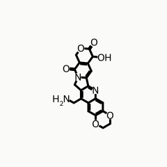 NCc1c2c(nc3cc4c(cc13)OCCO4)-c1cc3c(c(=O)n1C2)COC(=O)C3O